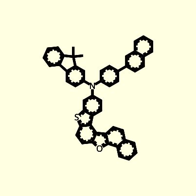 CC1(C)c2ccccc2-c2ccc(N(c3ccc(-c4ccc5ccccc5c4)cc3)c3ccc4c(c3)sc3ccc5oc6c7ccccc7ccc6c5c34)cc21